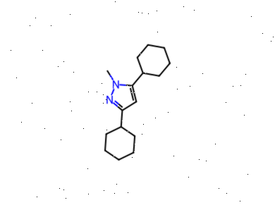 Cn1nc(C2CCCCC2)cc1C1CCCCC1